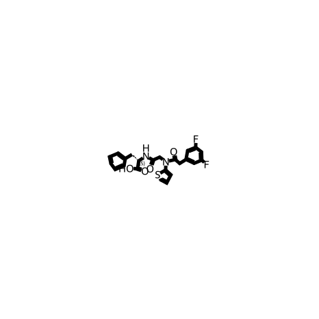 O=C(CN(C(=O)Cc1cc(F)cc(F)c1)c1cccs1)N[C@@H](Cc1ccccc1)C(=O)O